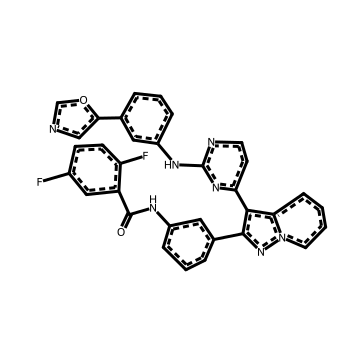 O=C(Nc1cccc(-c2nn3ccccc3c2-c2ccnc(Nc3cccc(-c4cnco4)c3)n2)c1)c1cc(F)ccc1F